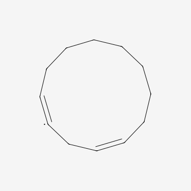 [C]1=C\CCCCCCC/C=C\C/1